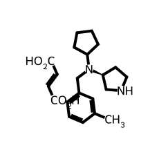 Cc1cccc(CN(C2CCCC2)[C@H]2CCNC2)c1.O=C(O)C=CC(=O)O